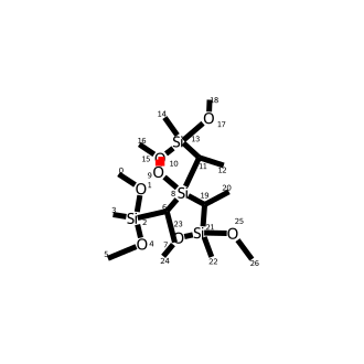 CO[Si](C)(OC)C(C)[Si](OC)(C(C)[Si](C)(OC)OC)C(C)[Si](C)(OC)OC